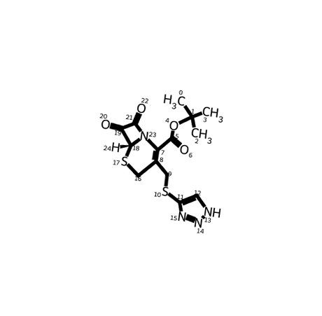 CC(C)(C)OC(=O)C1=C(CSc2c[nH]nn2)CS[C@@H]2C(=O)C(=O)N12